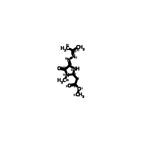 COC(=O)CC1NC(=NN=C(C)C)C(=O)N1C